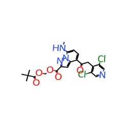 CNc1ccc(C(=O)Cc2c(Cl)cncc2Cl)c2cc(C(=O)OCOC(=O)C(C)(C)C)nn12